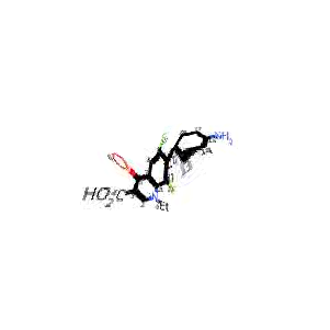 CCn1cc(C(=O)O)c(=O)c2cc(F)c(C3CCC(N)CC3)c(F)c21